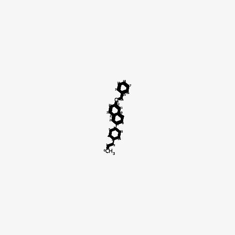 CCC[C@H]1CC[C@H](c2ccc3cc(OCc4ccccc4)ccc3c2)CC1